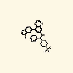 Cn1ccc2ccc(-c3cc(NC(c4cccnc4)C4CCN(S(C)(=O)=O)CC4)cc4nccnc34)cc21